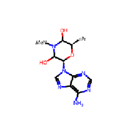 CCC[C@H]1O[C@@H](n2cnc3c(N)ncnc32)C(O)N(NC)C1O